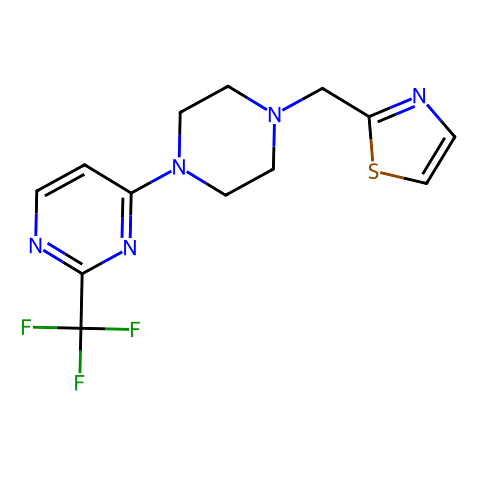 FC(F)(F)c1nccc(N2CCN(Cc3nccs3)CC2)n1